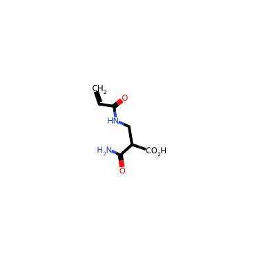 C=CC(=O)NCC(C(N)=O)C(=O)O